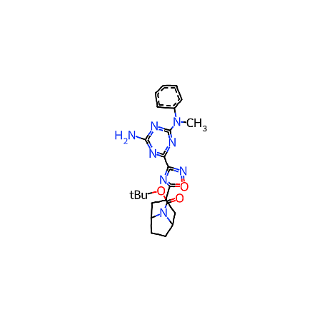 CN(c1ccccc1)c1nc(N)nc(-c2noc(C3CC4CCC(C3)N4C(=O)OC(C)(C)C)n2)n1